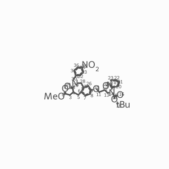 COC(=O)CC1Cc2ccc(OCCCN(C(=O)OC(C)(C)C)c3cccc[n+]3[O-])cc2CN(Cc2ccc([N+](=O)[O-])cc2)C1=O